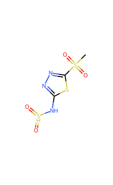 CS(=O)(=O)c1nnc(N[SH](=O)=O)s1